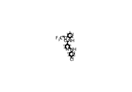 O=C(Nc1cnccc1OCC(F)(F)F)c1ccnc(Nc2ccc(Cl)cn2)c1